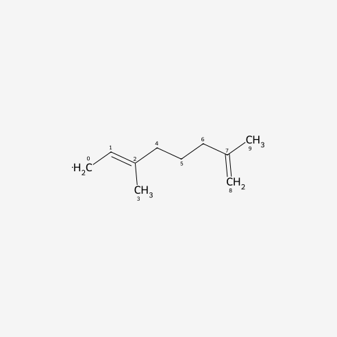 [CH2]/C=C(\C)CCCC(=C)C